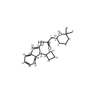 CC1(C)CCC[C@@H](CC(=O)Nc2nc3cccnc3n2C2CCC2)O1